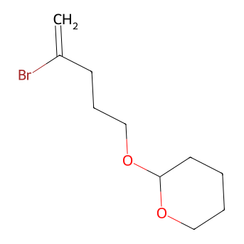 C=C(Br)CCCOC1CCCCO1